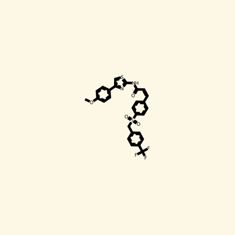 COc1ccc(-c2csc(NC(=O)/C=C\c3ccc(S(=O)(=O)Cc4ccc(C(F)(F)F)cc4)cc3)n2)cc1